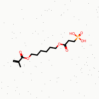 C=C(C)C(=O)OCCCCCCOC(=O)CCP(=O)(O)O